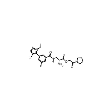 CCn1ncc(Cl)c1-c1cc(F)cc(C(=O)NC[C@@H](N)C(=O)OCC(=O)N2CCCC2)c1